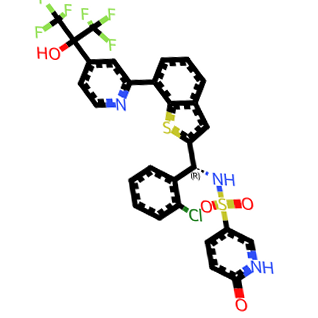 O=c1ccc(S(=O)(=O)N[C@@H](c2cc3cccc(-c4cc(C(O)(C(F)(F)F)C(F)(F)F)ccn4)c3s2)c2ccccc2Cl)c[nH]1